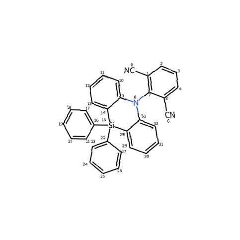 N#Cc1cccc(C#N)c1N1c2ccccc2[Si](c2ccccc2)(c2ccccc2)c2ccccc21